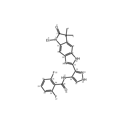 CCN1C(=O)C(C)(C)c2cc3[nH]c(-c4n[nH]cc4NC(=O)c4c(F)cccc4F)nc3cc21